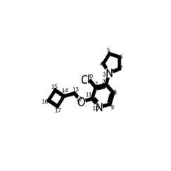 Clc1c(N2CCCC2)ccnc1OCC1CCC1